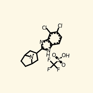 CN1C2CCC1CC(c1nc3c(Cl)c(Cl)ccc3[nH]1)C2.O=S(=O)(O)C(F)(F)F